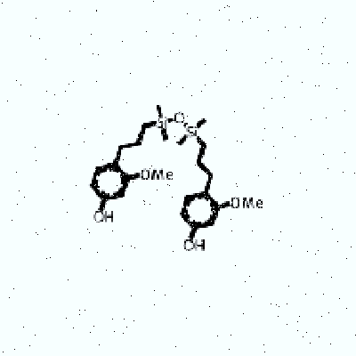 COc1cc(O)ccc1CCC[Si](C)(C)O[Si](C)(C)CCCc1ccc(O)cc1OC